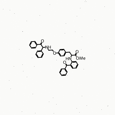 COC(=O)C(Cc1ccc(OCCNC(C(=O)c2ccccc2)c2ccccc2)cc1)Nc1ccccc1C(=O)c1ccccc1